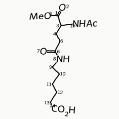 COC(=O)C(CCC(=O)NCCCCCC(=O)O)NC(C)=O